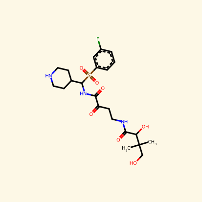 CC(C)(CO)C(O)C(=O)NCCC(=O)C(=O)NC(C1CCNCC1)S(=O)(=O)c1cccc(F)c1